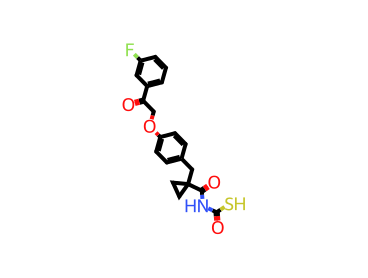 O=C(S)NC(=O)C1(Cc2ccc(OCC(=O)c3cccc(F)c3)cc2)CC1